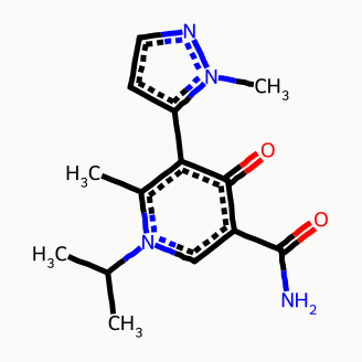 Cc1c(-c2ccnn2C)c(=O)c(C(N)=O)cn1C(C)C